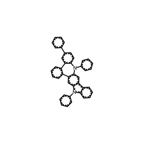 c1ccc(-c2ccc3c(c2)-c2ccccc2-c2cc4c(cc2N3c2ccccc2)c2ccccc2n4-c2ccccc2)cc1